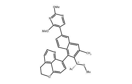 COc1ncc(-c2ccc3c(-c4ccc5c6c(ccnc46)CCO5)c([C@H](OC(C)(C)C)C(C)=O)c(C)cc3c2)c(OC)n1